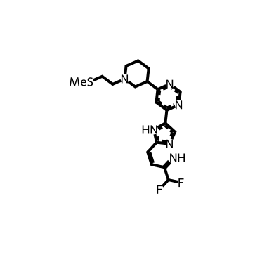 CSCCN1CCCC(c2cc(-c3cnc(/C=C\C(=N)C(F)F)[nH]3)ncn2)C1